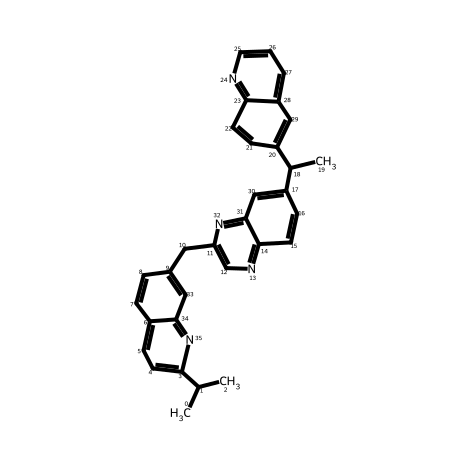 CC(C)c1ccc2ccc(Cc3cnc4ccc(C(C)c5ccc6ncccc6c5)cc4n3)cc2n1